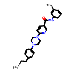 CC(C)(C)c1cccc(NC(=O)c2ccc(N3CCN(c4ccc(CCC(=O)O)cc4)CC3)nc2)c1